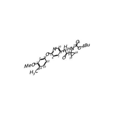 COc1cc(Oc2ccc(NC(=O)C3(NC(=O)OC(C)(C)C)CC3)cn2)ccc1C